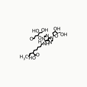 C/C=C/C(CCCCCNc1ncnc2c1ncn2[C@H]1C[C@H](O)[C@@H](CO)O1)C(=O)O.O=CC[C@H](O)[C@H](O)CO